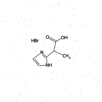 Br.CC(C(=O)O)c1ncc[nH]1